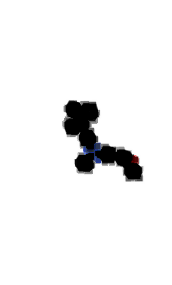 c1ccc(-c2nc(-c3ccc(-c4ccc5oc6ccccc6c5c4)cc3)nc(-c3ccc(-c4cc5c6ccccc6c6ccccc6c5c5ccccc45)cc3)n2)cc1